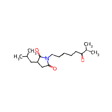 CC(C)CC1CC(=O)N(CCCCCC(=O)C(C)C)C1=O